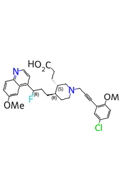 COc1ccc2nccc([C@H](F)CC[C@@H]3CCN(CC#Cc4cc(Cl)ccc4OC)C[C@H]3CCC(=O)O)c2c1